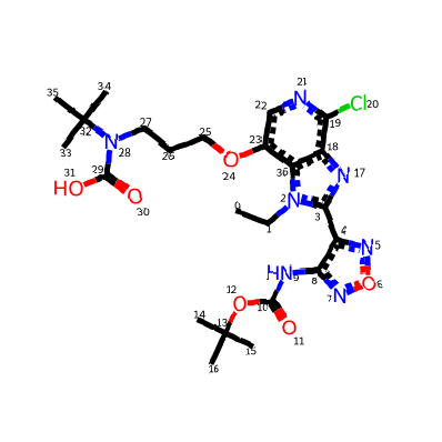 CCn1c(-c2nonc2NC(=O)OC(C)(C)C)nc2c(Cl)ncc(OCCCN(C(=O)O)C(C)(C)C)c21